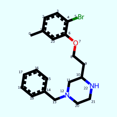 Cc1ccc(Br)c(OCCC2CN(Cc3ccccc3)CCN2)c1